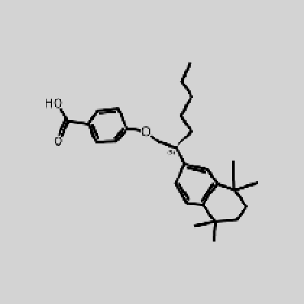 CCCCC[C@H](COc1ccc(C(=O)O)cc1)c1ccc2c(c1)C(C)(C)CCC2(C)C